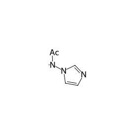 CC(=O)[N]n1ccnc1